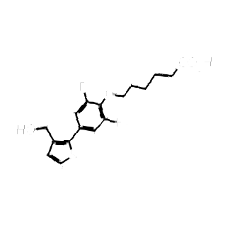 O=C(O)CCCCCOc1c(F)cc(-c2sccc2CO)cc1F